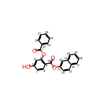 O=C(Oc1cc(O)ccc1C(=O)Oc1ccc2ccccc2c1)c1ccccc1